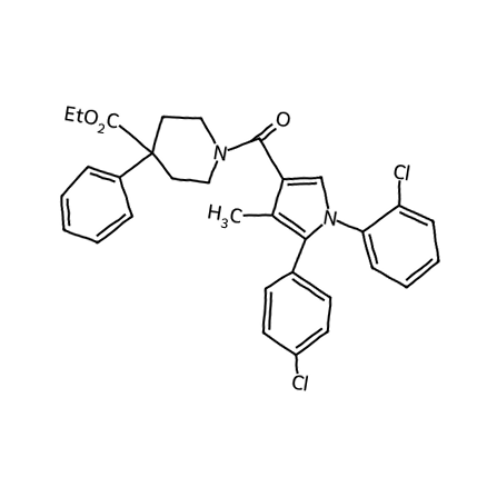 CCOC(=O)C1(c2ccccc2)CCN(C(=O)c2cn(-c3ccccc3Cl)c(-c3ccc(Cl)cc3)c2C)CC1